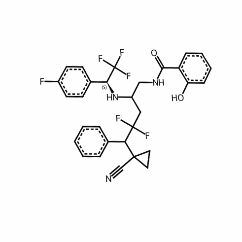 N#CC1(C(c2ccccc2)C(F)(F)CC(CNC(=O)c2ccccc2O)N[C@@H](c2ccc(F)cc2)C(F)(F)F)CC1